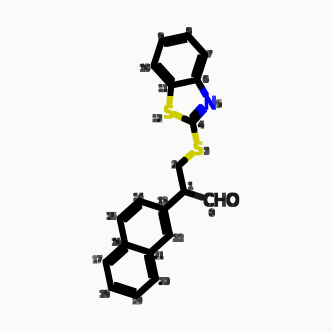 O=CC(CSc1nc2ccccc2s1)c1ccc2ccccc2c1